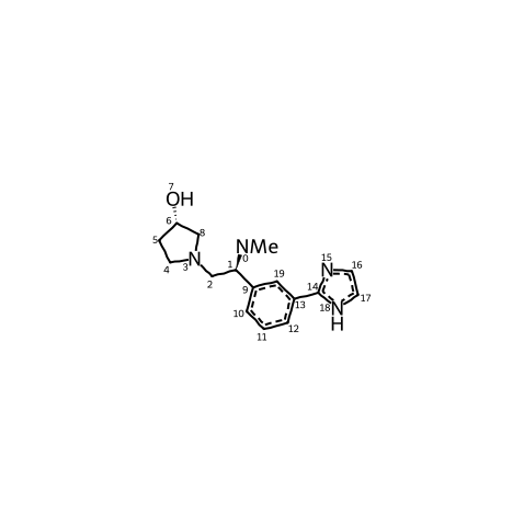 CN[C@H](CN1CC[C@H](O)C1)c1cccc(-c2ncc[nH]2)c1